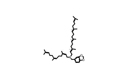 CC(C)=CCCC(C)=CCCC(C)=CCN(C/C=C(\C)CC/C=C(\C)CC/C=C(\C)CCC=C(C)C)Cc1ccc2c(c1)OCO2